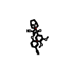 COc1ccc(S(=O)(=O)N2CC3CCC(C2)N3CC(O)COc2ccc(C#N)cc2)cc1OC